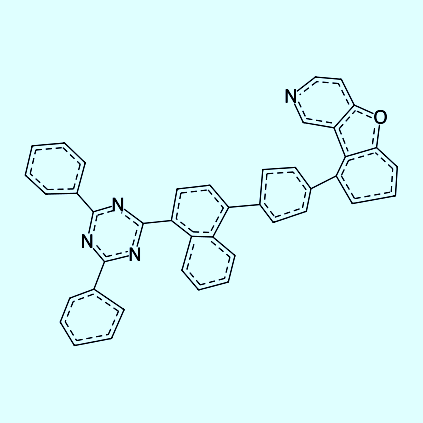 c1ccc(-c2nc(-c3ccccc3)nc(-c3ccc(-c4ccc(-c5cccc6oc7ccncc7c56)cc4)c4ccccc34)n2)cc1